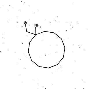 NC1(CBr)CCCCCCCCCCC1